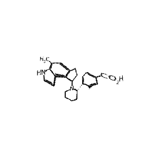 Cc1cc2c(c3cc[nH]c13)C(N1CCCC[C@H]1c1ccc(C(=O)O)cc1)CC2